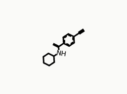 C#Cc1ccc(C(=C)NC2CCCCC2)cc1